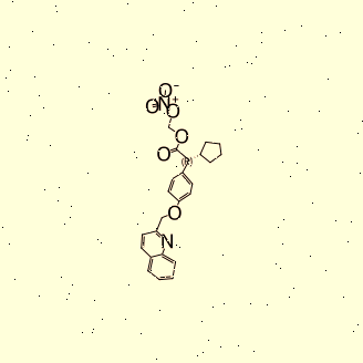 O=C(OCO[N+](=O)[O-])[C@@H](c1ccc(OCc2ccc3ccccc3n2)cc1)C1CCCC1